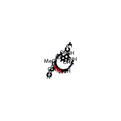 CO[C@H]1/C=C/O[C@@]2(C)Oc3c(C)c(O)c4c(c3C2=O)C2=NC3(CCN(CC(C)I)CC3)NC2=C(NC(C)/C(C)=C\C=C\[C@H](C)[C@H](O)[C@@H](C)[C@@H](O)[C@@H](C)[C@H](OC(=O)CC(=O)N2CCN(C)CC2)[C@@H]1C)C4=O